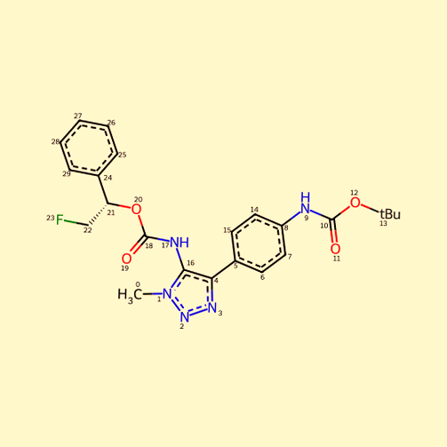 Cn1nnc(-c2ccc(NC(=O)OC(C)(C)C)cc2)c1NC(=O)O[C@H](CF)c1ccccc1